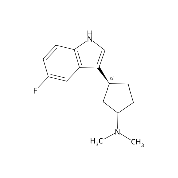 CN(C)C1CC[C@H](c2c[nH]c3ccc(F)cc23)C1